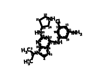 CC(C)n1cnc2c(Nc3cc(N)cc(Cl)c3)nc(NC3CCNC3)nc21